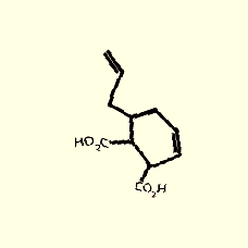 C=CCC1CC=CC(C(=O)O)C1C(=O)O